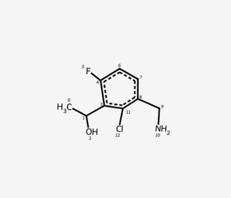 CC(O)c1c(F)ccc(CN)c1Cl